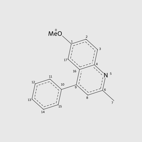 COc1ccc2nc(C)cc(-c3ccccc3)c2c1